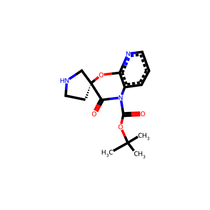 CC(C)(C)OC(=O)N1C(=O)[C@]2(CCNC2)Oc2ncccc21